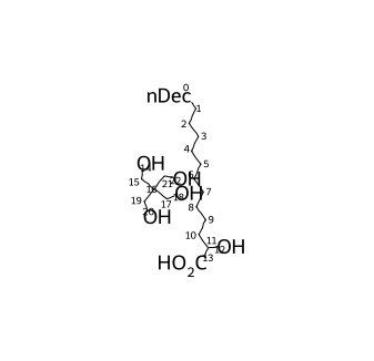 CCCCCCCCCCCCCCCCCCCCC(O)C(=O)O.OCC(CO)(CO)CO